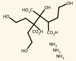 N.N.N.O=C(O)C(CCO)C(O)(C(=O)O)C(CCO)(CCO)C(=O)O